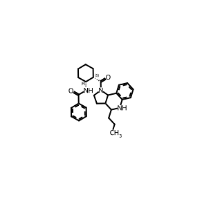 CCCC1Nc2ccccc2C2C1CCN2C(=O)[C@H]1CCCC[C@H]1NC(=O)c1ccccc1